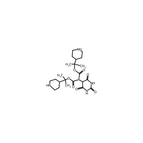 CC(C)(OC(=O)N(C(=O)OC(C)(C)C1CCNCC1)C1C(=O)NC(=O)NC1=O)C1CCNCC1